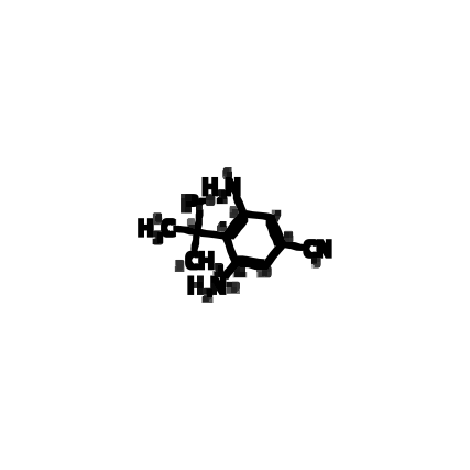 CC(C)C(C)(C)c1c(N)cc(C#N)cc1N